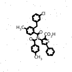 Cc1ccc(C(=O)N(C(=O)c2ccc(C)cc2Cc2cccc(Cl)c2)c2cc(-c3ccccc3)sc2C(=O)O)cc1